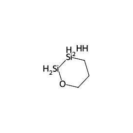 C1CO[SiH2][SiH2]C1.[HH]